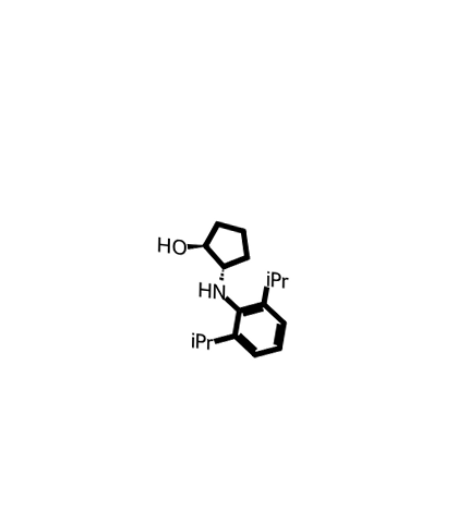 CC(C)c1cccc(C(C)C)c1N[C@H]1CCC[C@@H]1O